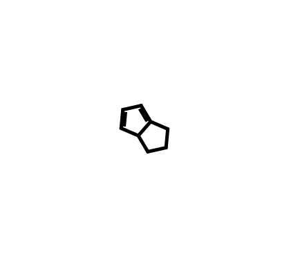 C1=CC2CCCC2=C1